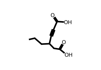 CCCC(C#CC(=O)O)CC(=O)O